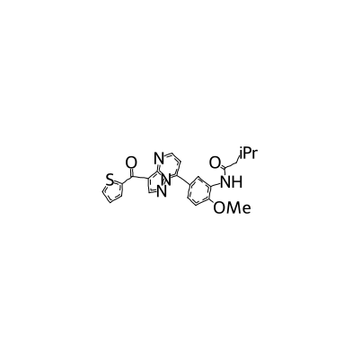 COc1ccc(-c2ccnc3c(C(=O)c4cccs4)cnn23)cc1NC(=O)CC(C)C